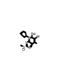 CC1=C(Br)C(O)N(C2CCCC2)c2nc([S+](C)[O-])ncc21